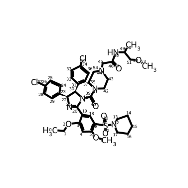 CCOc1cc(OC)c(S(=O)(=O)N2CCCCC2)cc1C1=N[C@@H](c2ccc(Cl)cc2)[C@@H](c2ccc(Cl)cc2)N1C(=O)N1CCN(CC(=O)NC(C)COC)CC1